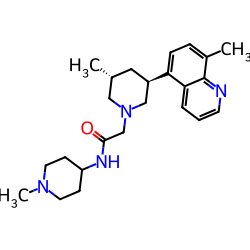 Cc1ccc([C@@H]2C[C@@H](C)CN(CC(=O)NC3CCN(C)CC3)C2)c2cccnc12